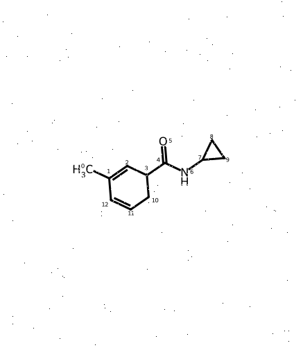 CC1=CC(C(=O)NC2CC2)CC=C1